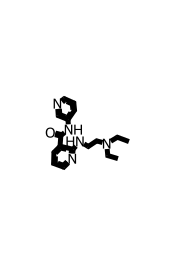 CCN(CC)CCNc1ncccc1C(=O)Nc1cccnc1